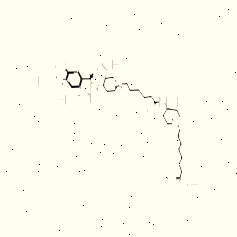 COc1cc(N)c(Cl)cc1C(=O)N[C@@H]1CCN(CCCCCC(=O)NC2CCN(CCCCCCCC(=O)O)CC2)C[C@@H]1OC